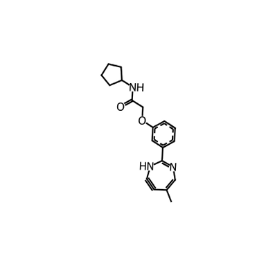 CC1=CN=C(c2cccc(OCC(=O)NC3CCCC3)c2)NC#C1